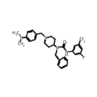 CN(C)c1ccc(CN2CCC(N(Cc3ccccc3)C(=O)Nc3cc(F)cc(C(F)(F)F)c3)CC2)cc1